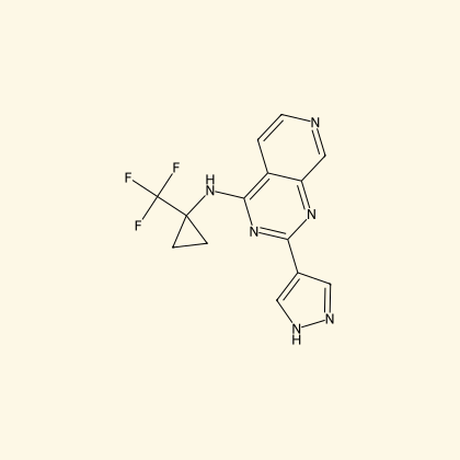 FC(F)(F)C1(Nc2nc(-c3cn[nH]c3)nc3cnccc23)CC1